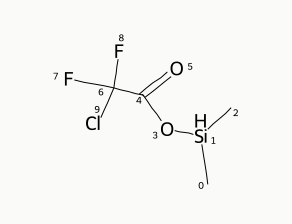 C[SiH](C)OC(=O)C(F)(F)Cl